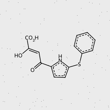 O=C(O)C(O)=CC(=O)c1ccc(Sc2ccccc2)[nH]1